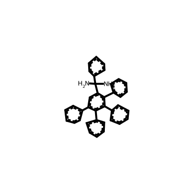 NC(N)(c1ccccc1)c1cc(-c2ccccc2)c(-c2ccccc2)c(-c2ccccc2)c1-c1ccccc1